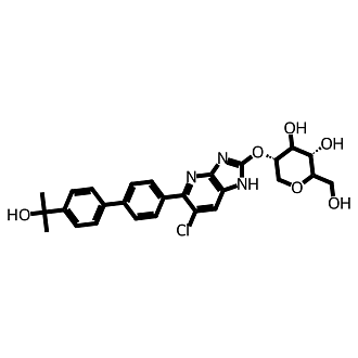 CC(C)(O)c1ccc(-c2ccc(-c3nc4nc(O[C@H]5COC(CO)[C@@H](O)C5O)[nH]c4cc3Cl)cc2)cc1